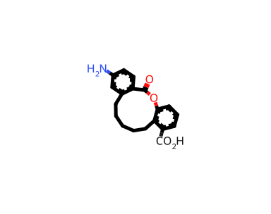 Nc1ccc2c(c1)CCCCCc1c(cccc1C(=O)O)OC2=O